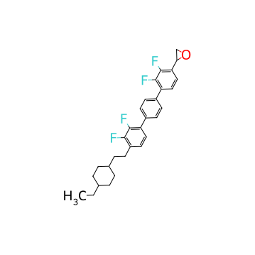 CCC1CCC(CCc2ccc(-c3ccc(-c4ccc(C5CO5)c(F)c4F)cc3)c(F)c2F)CC1